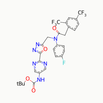 CC(C)(C)OC(=O)Nc1cnc(-c2nnc(CN(C(=O)Cc3ccc(C(F)(F)F)cc3C(F)(F)F)c3ccc(F)cc3)o2)nc1